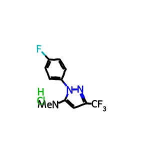 CNc1cc(C(F)(F)F)nn1-c1ccc(F)cc1.Cl